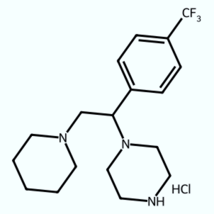 Cl.FC(F)(F)c1ccc(C(CN2CCCCC2)N2CCNCC2)cc1